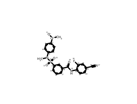 CN(c1ccc([S+](C)[O-])cc1)S(=O)(=O)c1cccc(C(=O)Nc2ccc(C#N)cc2F)c1